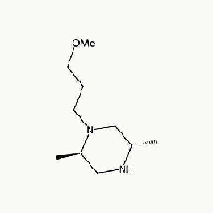 COCCCN1C[C@H](C)NC[C@H]1C